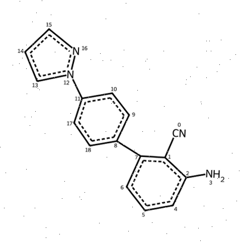 N#Cc1c(N)cccc1-c1ccc(-n2cccn2)cc1